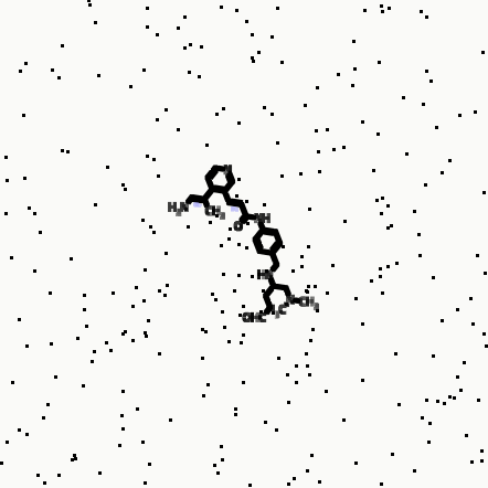 C/C(=C\N)c1ccncc1/C=C/C(=O)Nc1ccc(CNC(CCC=O)CN(C)C)cc1